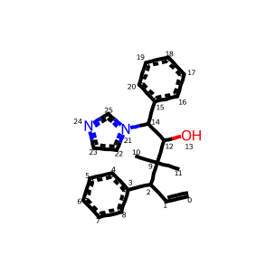 C=CC(c1ccccc1)C(C)(C)C(O)C(c1ccccc1)n1ccnc1